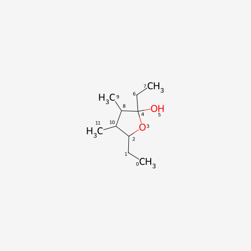 CCC1OC(O)(CC)C(C)C1C